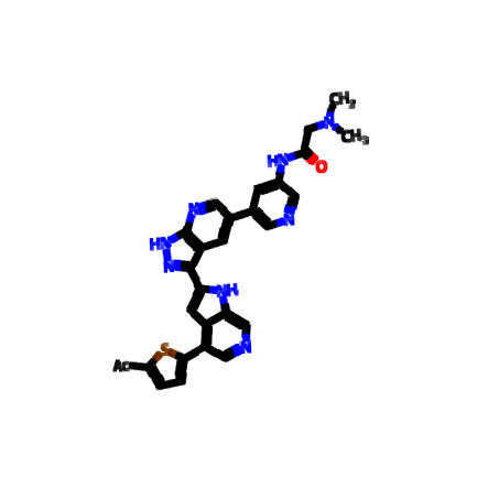 CC(=O)c1ccc(-c2cncc3[nH]c(-c4n[nH]c5ncc(-c6cncc(NC(=O)CN(C)C)c6)cc45)cc23)s1